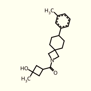 Cc1cccc(C2CCC3(CC2)CN(C(=O)C2CC(C)(O)C2)C3)c1